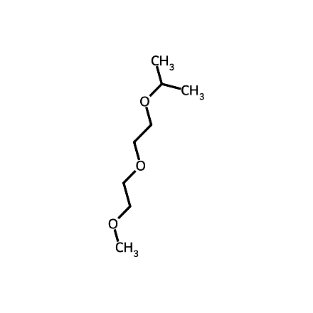 COCCOCCOC(C)C